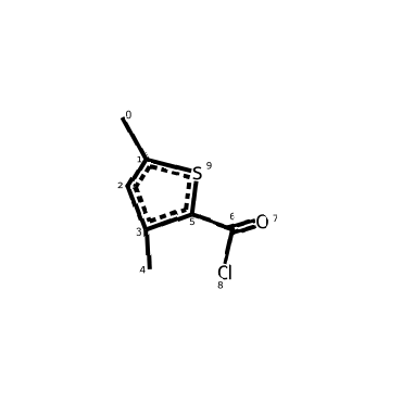 Cc1cc(C)c(C(=O)Cl)s1